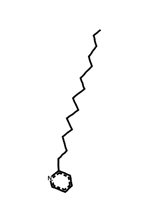 CCCCCCCCCCCCCCc1ccccn1